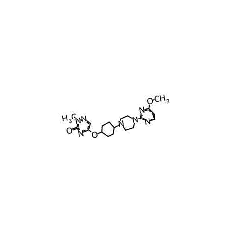 COc1ccnc(N2CCN(C3CCC(Oc4cnn(C)c(=O)n4)CC3)CC2)n1